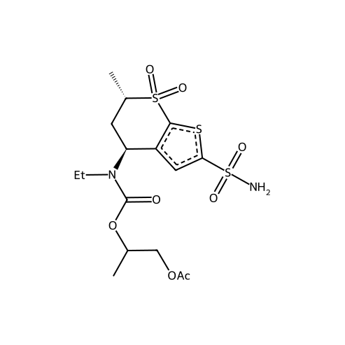 CCN(C(=O)OC(C)COC(C)=O)[C@H]1C[C@H](C)S(=O)(=O)c2sc(S(N)(=O)=O)cc21